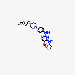 CCOC(=O)C1CCN(c2ccc(Nc3ncc(Br)c(N(C)C4CCCO4)n3)cc2)CC1